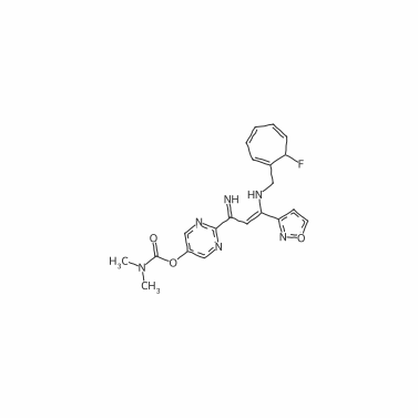 CN(C)C(=O)Oc1cnc(C(=N)/C=C(\NCC2=CC=CC=CC2F)c2ccon2)nc1